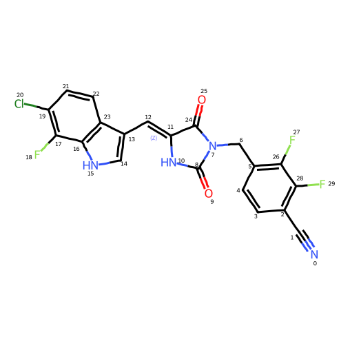 N#Cc1ccc(CN2C(=O)N/C(=C\c3c[nH]c4c(F)c(Cl)ccc34)C2=O)c(F)c1F